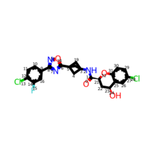 O=C(NC12CC(c3nc(-c4ccc(Cl)c(F)c4)no3)(C1)C2)[C@@H]1C[C@H](O)c2cc(Cl)ccc2O1